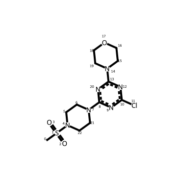 CS(=O)(=O)N1CCN(c2nc(Cl)nc(N3CCOCC3)n2)CC1